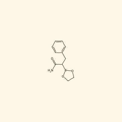 NC(=O)C(Cc1ccccc1)B1OCCO1